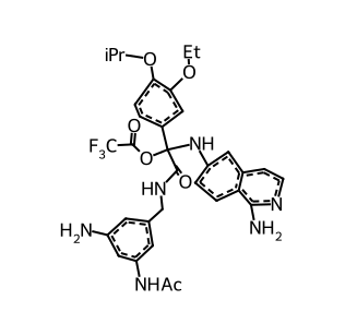 CCOc1cc(C(Nc2ccc3c(N)nccc3c2)(OC(=O)C(F)(F)F)C(=O)NCc2cc(N)cc(NC(C)=O)c2)ccc1OC(C)C